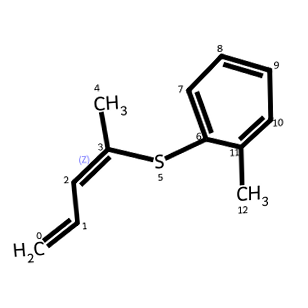 C=C/C=C(/C)Sc1ccccc1C